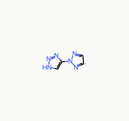 [c]1cnn(-c2c[nH]nn2)n1